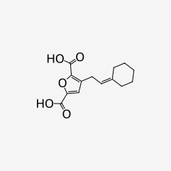 O=C(O)c1cc(CC=C2CCCCC2)c(C(=O)O)o1